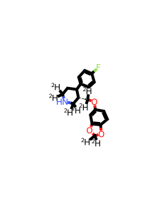 [2H]C1([2H])CC(c2ccc(F)cc2)[C@H](C([2H])([2H])Oc2ccc3c(c2)OC([2H])([2H])O3)C([2H])([2H])N1